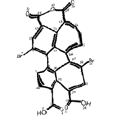 O=C(O)c1ccc2c3c(Br)cc4c5c(ccc(c6c(Br)cc(C(=O)O)c1c26)c53)C(=O)OC4=O